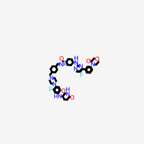 O=C1CCC(Nc2ccc(N3CCN(CC4CCC(CNC(=O)[C@H]5CC[C@H](Nc6ncc(F)c(-c7cccc(N8CCOCC8=O)c7)n6)CC5)CC4)CC3)c(F)c2)C(=O)N1